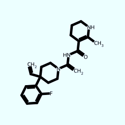 C=CC1(c2ccccc2F)CCN(C(=C)NC(=O)C2=C(C)NCCC2)CC1